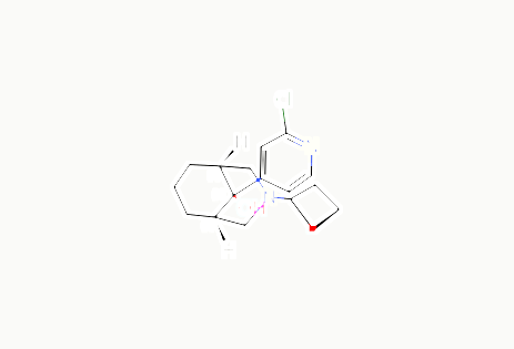 O[C@@]1(c2ccnc(Cl)c2)[C@@H]2CCC[C@H]1CN(C13CC(C1)C3)C2